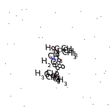 C=C(/C=C\C=C/C)C1(c2ccccc2)c2cc(-c3ccc4c(c3)C3CC(C(C)(C)C)CCC3(C)N4c3ccccc3)ccc2-c2c1c1ccc(-c3ccc4c(c3)C3CC(C(C)(C)C)CCC3(C)N4c3ccccc3)cc1c1ccccc21